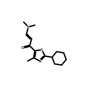 Cc1nc(C2CCCCC2)sc1C(=O)C=CN(C)C